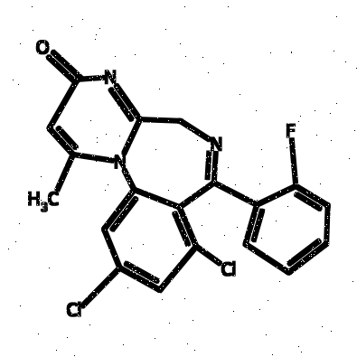 Cc1cc(=O)nc2n1-c1cc(Cl)cc(Cl)c1C(c1ccccc1F)=NC2